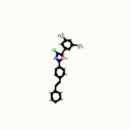 Clc1nc(-c2ccc(/C=C/c3ccccc3)cc2)oc1-c1cc(C(Cl)(Cl)Cl)cc(C(Cl)(Cl)Cl)c1